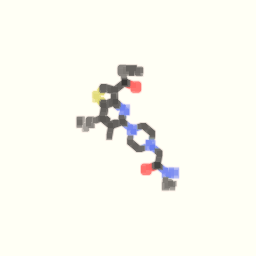 COC(=O)c1csc2c(C(F)(F)F)c(C)c(N3CCN(CC(=O)NC(C)C)CC3)nc12